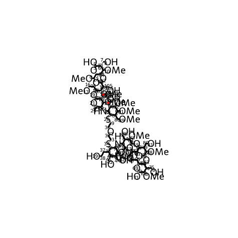 COCC1OC(O)[C@H](CO)C(OC)[C@H]1O[C@@H]1OC(COC)[C@H](O[C@@H]2OC(C)[C@H](N[C@@H]3C(SCCOCCSC4C(CCO)[C@H](CO)C(CO)[C@H](OC)[C@H]4N[C@@H]4C(C)O[C@H](O[C@@H]5C(CCO)O[C@H](O[C@@H]6C(CCO)OC(O)[C@@H](OC)C6CO)[C@@H](OC)C5CO)[C@@H](OC)C4CO)C(COC)[C@@H](OC)C(OC)[C@H]3CO)C(OC)[C@H]2CO)C(OC)[C@H]1CO